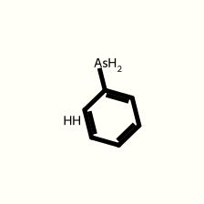 [AsH2]c1ccccc1.[HH]